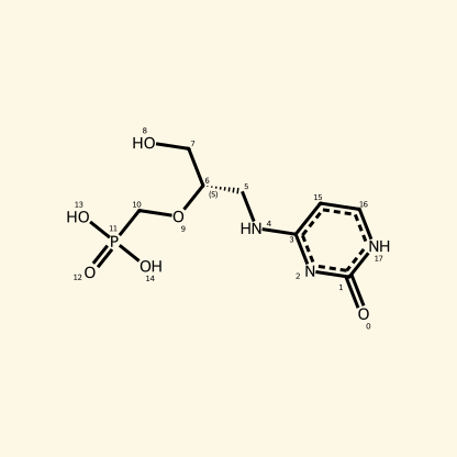 O=c1nc(NC[C@@H](CO)OCP(=O)(O)O)cc[nH]1